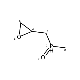 C[PH](=O)CC1CO1